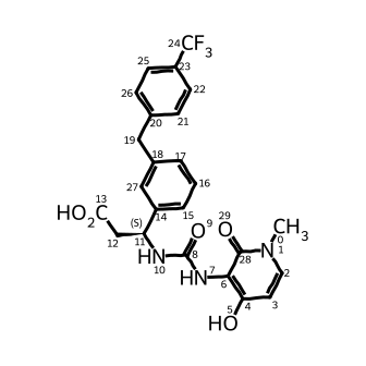 Cn1ccc(O)c(NC(=O)N[C@@H](CC(=O)O)c2cccc(Cc3ccc(C(F)(F)F)cc3)c2)c1=O